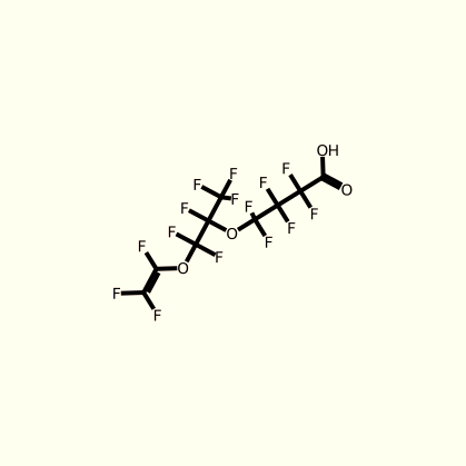 O=C(O)C(F)(F)C(F)(F)C(F)(F)OC(F)(C(F)(F)F)C(F)(F)OC(F)=C(F)F